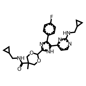 CC1(C(=O)NCC2CC2)COC(c2nc(-c3ccc(F)cc3)c(-c3ccnc(NCC4CC4)n3)[nH]2)OC1